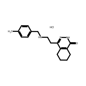 Cc1ccc(CNCCc2n[nH]c(=O)c3c2CCCC3)cc1.Cl